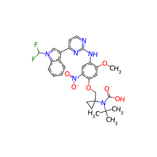 COc1cc(OCC2(N(C(=O)O)C(C)(C)C)CC2)c([N+](=O)[O-])cc1Nc1nccc(-c2cn(C(F)F)c3ccccc23)n1